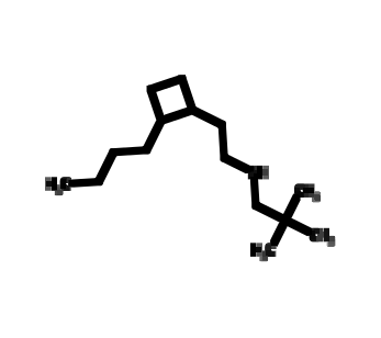 CCCCC1CCC1CCNCC(C)(C)C